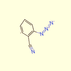 N#Cc1[c]cccc1N=[N+]=[N-]